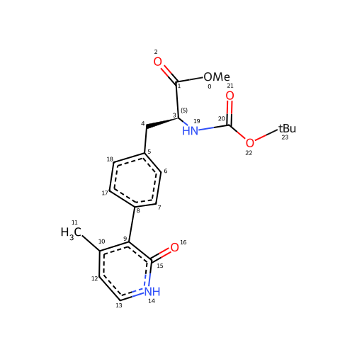 COC(=O)[C@H](Cc1ccc(-c2c(C)cc[nH]c2=O)cc1)NC(=O)OC(C)(C)C